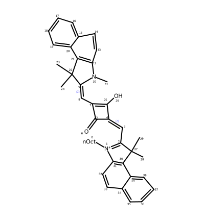 CCCCCCCC[N+]1=C(/C=C2\C(=O)C(/C=C3\N(C)c4ccc5ccccc5c4C3(C)C)=C2O)C(C)(C)c2c1ccc1ccccc21